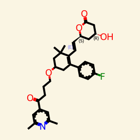 Cc1cc(C(=O)CCCOC2CC(c3ccc(F)cc3)=C(/C=C/[C@@H]3C[C@@H](O)CC(=O)O3)C(C)(C)C2)cc(C)n1